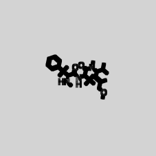 CN[C@H](C(=O)NC(C(=O)N(C)C(/C=C(\C)COC)C(C)C)C(C)(C)C)C(C)(C)c1ccccc1